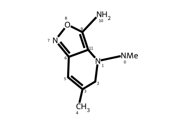 CNN1CC(C)=Cc2noc(N)c21